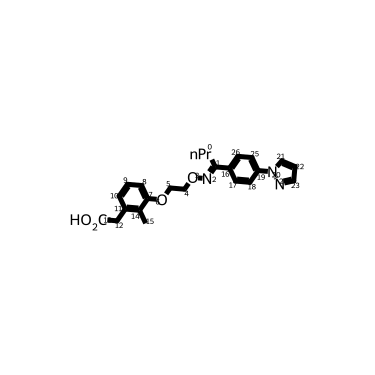 CCC/C(=N\OCCOc1cccc(CC(=O)O)c1C)c1ccc(-n2cccn2)cc1